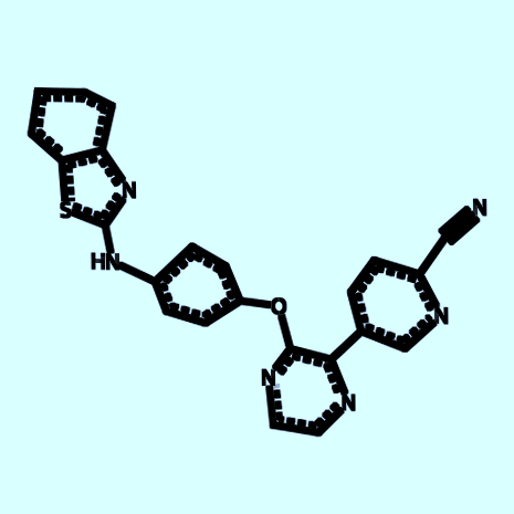 N#Cc1ccc(-c2nccnc2Oc2ccc(Nc3nc4ccccc4s3)cc2)cn1